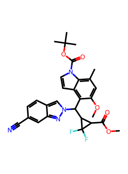 COC(=O)C1C(C(c2c(OC)cc(C)c3c2ccn3C(=O)OC(C)(C)C)n2cc3ccc(C#N)cc3n2)C1(F)F